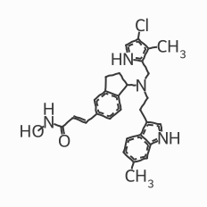 Cc1ccc2c(CCN(Cc3[nH]cc(Cl)c3C)C3CCc4cc(/C=C/C(=O)NO)ccc43)c[nH]c2c1